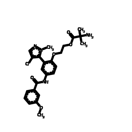 COc1cccc(C(=O)Nc2ccc(OCCOC(=O)C(C)(C)N)c(-c3c(Cl)cnn3C)c2)c1